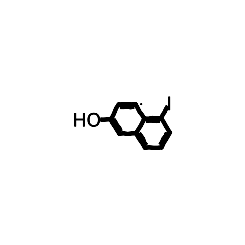 Oc1c[c]c2c(I)cccc2c1